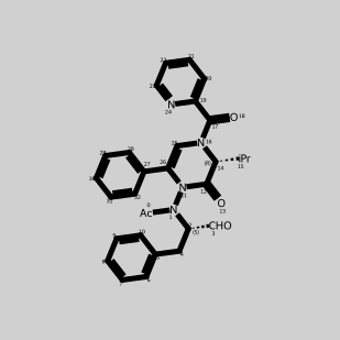 CC(=O)N([C@H](C=O)Cc1ccccc1)N1C(=O)[C@@H](C(C)C)N(C(=O)c2ccccn2)C=C1c1ccccc1